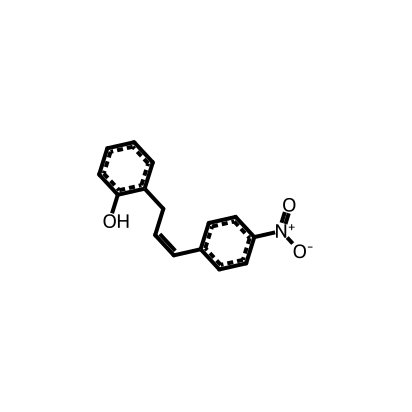 O=[N+]([O-])c1ccc(/C=C\Cc2ccccc2O)cc1